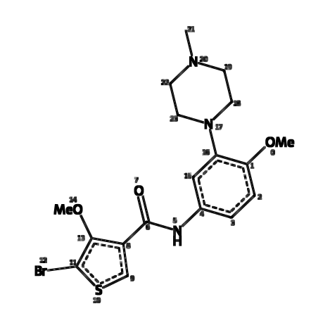 COc1ccc(NC(=O)c2csc(Br)c2OC)cc1N1CCN(C)CC1